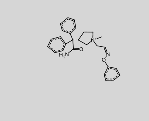 C[N+]1(C/C=N\Oc2ccccc2)CC[C@@H](C(C(N)=O)(c2ccccc2)c2ccccc2)C1